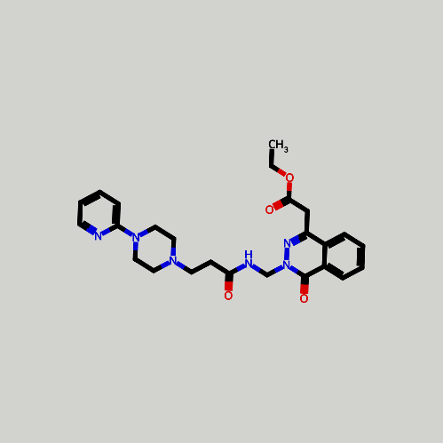 CCOC(=O)Cc1nn(CNC(=O)CCN2CCN(c3ccccn3)CC2)c(=O)c2ccccc12